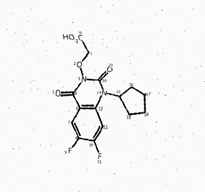 O=C(O)COn1c(=O)c2cc(F)c(F)cc2n(C2CCCC2)c1=O